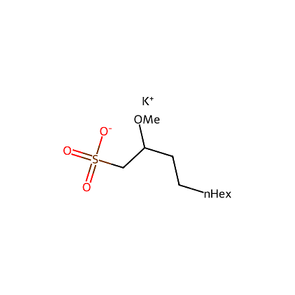 CCCCCCCCC(CS(=O)(=O)[O-])OC.[K+]